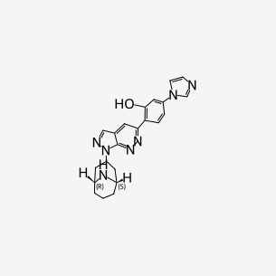 Oc1cc(-n2ccnc2)ccc1-c1cc2cnn(C3C[C@H]4CCC[C@@H](C3)N4)c2nn1